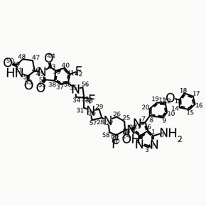 Nc1ncnc2c1c(-c1ccc(Oc3ccccc3)cc1)nn2[C@]1(O)CCN(C2CN(CC3(F)CN(c4cc5c(cc4F)C(=O)N(C4CCC(=O)NC4=O)C5=O)C3)C2)C[C@H]1F